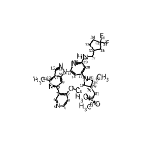 COc1ccncc1-c1cc2c(cnn2-c2cc(N3C[C@H](CS(C)(=O)=O)[C@H]3C)cc(NCC3CCC(F)(F)C3)n2)c(C)n1